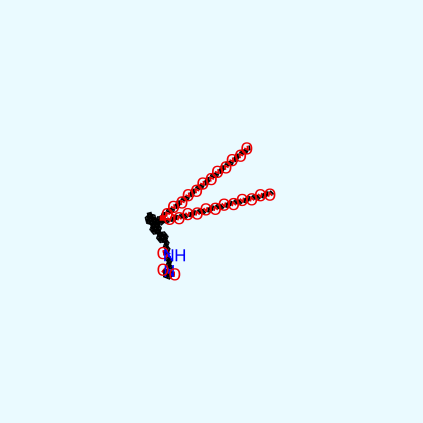 COCCOCCOCCOCCOCCOCCOCCOCCOCCOCCOCCOCCCC1(CCCOCCOCCOCCOCCOCCOCCOCCOCCOCCOCCOCCOC)c2cc(C)ccc2-c2ccc(-c3ccc(CCCC(=O)NCCCCN4C(=O)C=CC4=O)cc3)cc21